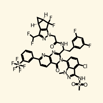 Cn1nc(NS(C)(=O)=O)c2c(Cl)ccc(-n3c([C@H](Cc4cc(F)cc(F)c4)NC(=O)Cn4nc(C(F)F)c5c4C(F)(F)[C@@H]4C[C@H]54)nc4nc(-c5cccc(S(F)(F)(F)(F)F)c5)ccc4c3=O)c21